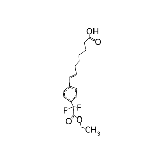 CCOC(=O)C(F)(F)c1ccc(C=CCCCCCC(=O)O)cc1